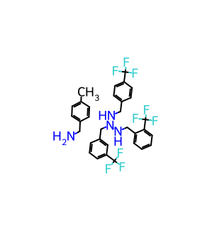 Cc1ccc(CN)cc1.FC(F)(F)c1ccc(CNN(Cc2cccc(C(F)(F)F)c2)NCc2ccccc2C(F)(F)F)cc1